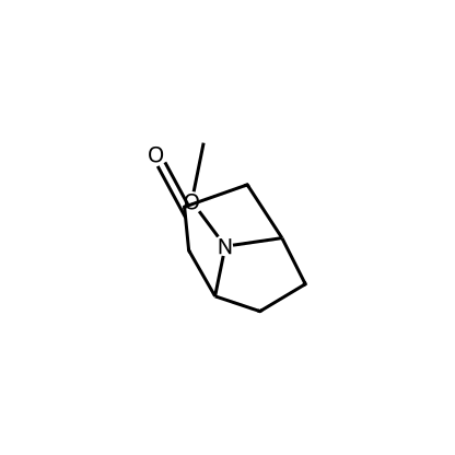 CON1C2CCC1CC(=O)C2